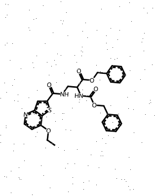 CCOc1ccnc2cc(C(=O)NCC(NC(=O)OCc3ccccc3)C(=O)OCc3ccccc3)sc12